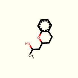 CC(O)CC1CCc2ccccc2O1